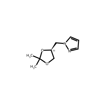 CC1(C)OC[C@H](Cn2cc[c]n2)O1